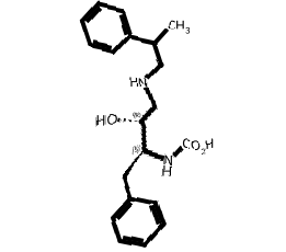 CC(CNC[C@@H](O)[C@H](Cc1ccccc1)NC(=O)O)c1ccccc1